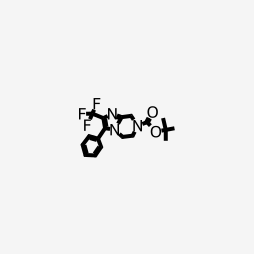 CC(C)(C)OC(=O)N1CCn2c(nc(C(F)(F)F)c2-c2ccccc2)C1